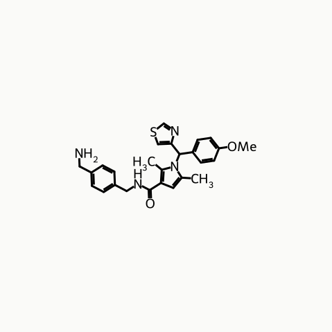 COc1ccc(C(c2cscn2)n2c(C)cc(C(=O)NCc3ccc(CN)cc3)c2C)cc1